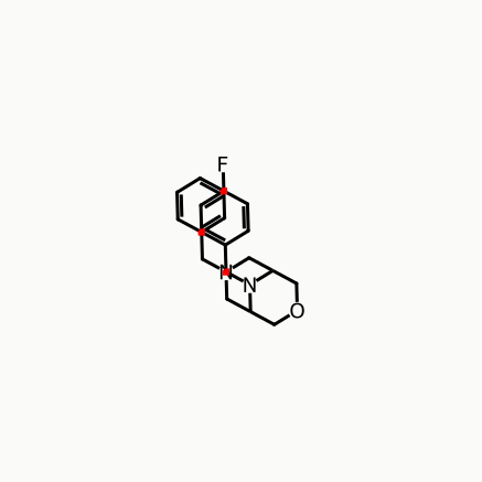 Fc1ccc(CN2C3COCC2CN(Cc2ccccc2)C3)cc1